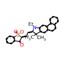 CCN1/C(=C/C=C2/C(=O)c3ccccc3S2(=O)=O)C(C)(C)c2cc3ccc4ccccc4c3cc21